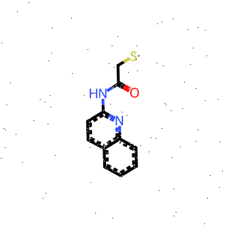 O=C(C[S])Nc1ccc2ccccc2n1